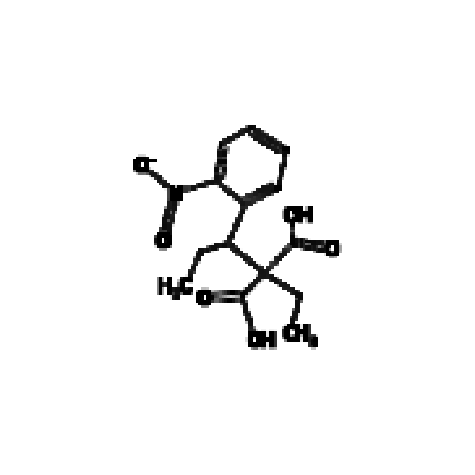 CCC(c1ccccc1[N+](=O)[O-])C(CC)(C(=O)O)C(=O)O